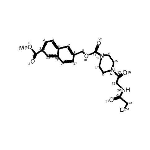 COC(=O)c1ccc2cc(COC(=O)N3CCN(C(=O)CNC(=O)CCl)CC3)ccc2c1